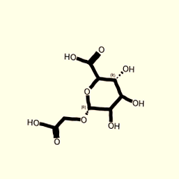 O=C(O)CO[C@@H]1OC(C(=O)O)[C@H](O)C(O)C1O